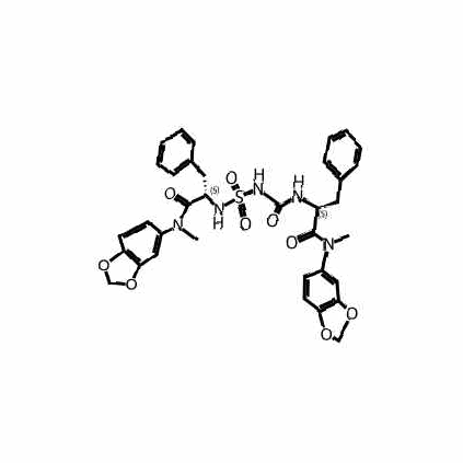 CN(C(=O)[C@H](Cc1ccccc1)NC(=O)NS(=O)(=O)N[C@@H](Cc1ccccc1)C(=O)N(C)c1ccc2c(c1)OCO2)c1ccc2c(c1)OCO2